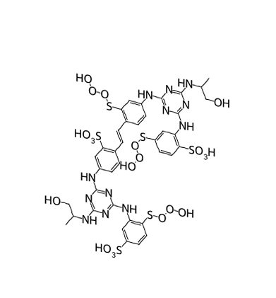 CC(CO)Nc1nc(Nc2ccc(/C=C/c3ccc(Nc4nc(Nc5cc(SOOO)ccc5S(=O)(=O)O)nc(NC(C)CO)n4)cc3SOOO)c(S(=O)(=O)O)c2)nc(Nc2cc(S(=O)(=O)O)ccc2SOOO)n1